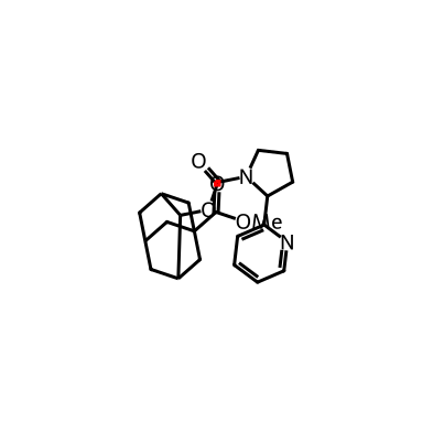 COC(=O)C12CC3CC(C1)C(OC(=O)N1CCCC1c1ccccn1)C(C3)C2